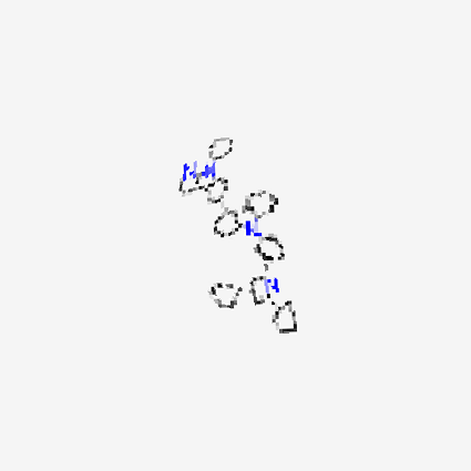 c1ccc(-c2cc(-c3ccccc3)nc(-c3cccc(-n4c5ccccc5c5c(-c6ccc7c(c6)c6cccnc6n7-c6ccccc6)cccc54)c3)c2)cc1